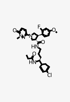 CCC(=O)N[C@@H](CCCNC(=O)[C@@H]1CN(c2ccc(=O)n(C)n2)C[C@H]1c1ccc(OC)cc1F)C1C=CC(Cl)=CC1